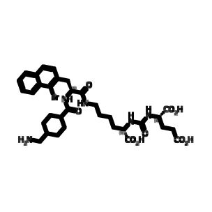 NCC1CCC(C(=O)N[C@@H](Cc2ccc3ccccc3c2Br)C(=O)NCCCC[C@H](NC(=O)N[C@@H](CCC(=O)O)C(=O)O)C(=O)O)CC1